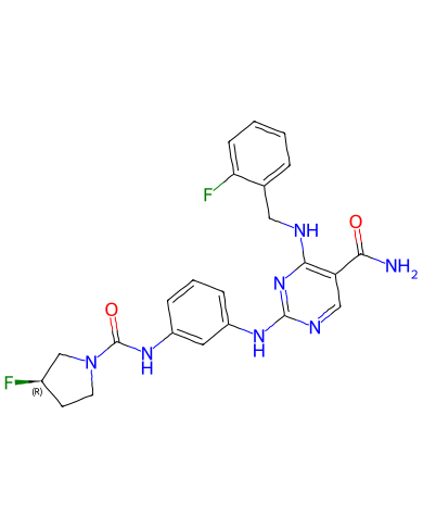 NC(=O)c1cnc(Nc2cccc(NC(=O)N3CC[C@@H](F)C3)c2)nc1NCc1ccccc1F